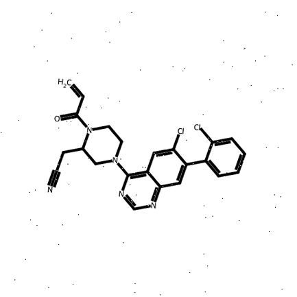 C=CC(=O)N1CCN(c2ncnc3cc(-c4ccccc4Cl)c(Cl)cc23)CC1CC#N